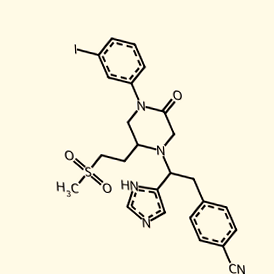 CS(=O)(=O)CCC1CN(c2cccc(I)c2)C(=O)CN1C(Cc1ccc(C#N)cc1)c1cnc[nH]1